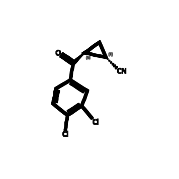 N#C[C@H]1C[C@@H]1C(=O)c1ccc(Cl)c(Cl)c1